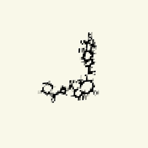 O=C(N[C@H]1CC[C@@H](O)C[C@H]2CC[C@@H](C(=O)N3CC(C(=O)N4CCOCC4)C3)N2C1=O)c1cc2cc(C(F)(F)P(=O)(O)O)ccc2s1